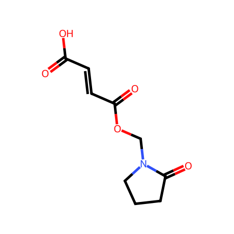 O=C(O)C=CC(=O)OCN1CCCC1=O